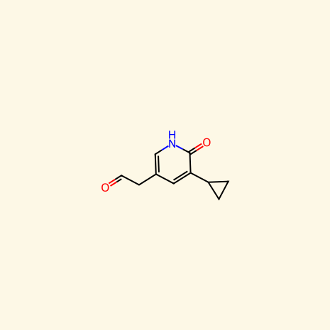 O=CCc1c[nH]c(=O)c(C2CC2)c1